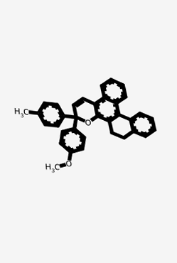 COc1ccc(C2(c3ccc(C)cc3)C=Cc3c(c4c(c5ccccc35)-c3ccccc3CC4)O2)cc1